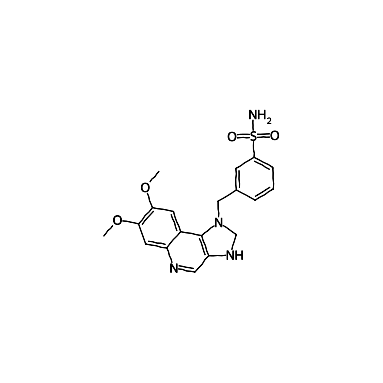 COc1cc2ncc3c(c2cc1OC)N(Cc1cccc(S(N)(=O)=O)c1)CN3